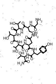 CC(O)C(NC(=O)C(Cc1ccc(O)cc1)NC(=O)C(CC(N)=O)NC(=O)C(NC(=O)C(NC(=O)C(NC(=O)C(CO)NC(=O)[C@@H](C)N)C(C)O)C(C)O)C(C)O)C(N)=O